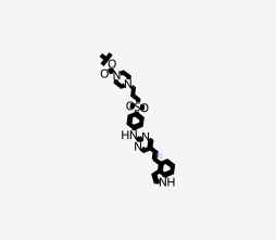 CC(C)(C)OC(=O)N1CCN(CCCS(=O)(=O)c2ccc(Nc3ncc(/C=C/c4cccc5[nH]ccc45)cn3)cc2)CC1